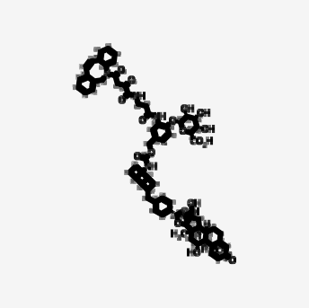 C[C@]12C=CC(=O)C=C1CC[C@@H]1[C@@H]2[C@@H](O)C[C@@]2(C)[C@H]1C[C@H]1O[C@@H](c3ccc(CC45C6C7C4C4C5C6C74NC(=O)OCc4ccc(O[C@@H]5O[C@H](C(=O)O)[C@@H](O)[C@H](O)[C@H]5O)c(NC(=O)CCNC(=O)C(=O)CC(=O)N5Cc6ccccc6C#Cc6ccccc65)c4)cc3)O[C@]12C(=O)CO